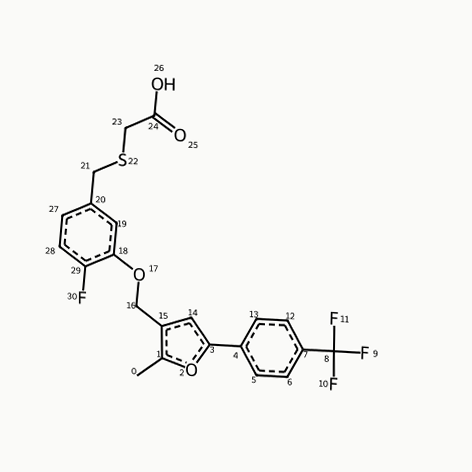 Cc1oc(-c2ccc(C(F)(F)F)cc2)cc1COc1cc(CSCC(=O)O)ccc1F